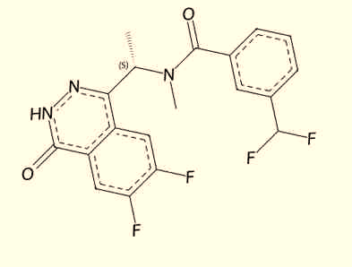 C[C@@H](c1n[nH]c(=O)c2cc(F)c(F)cc12)N(C)C(=O)c1cccc(C(F)F)c1